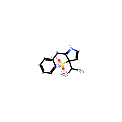 CC(C(=O)O)C1(S(N)(=O)=O)C=CN=C1Cc1ccccc1